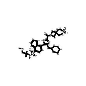 COCC(C)(C)NS(=O)(=O)c1ccc(-c2sc(C(=O)N3CC4(CCS(=O)(=O)CC4)C3)nc2CC2CCCCC2)c2ccccc12